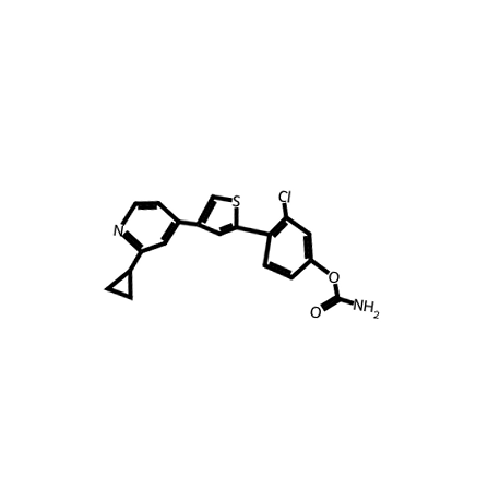 NC(=O)Oc1ccc(-c2cc(-c3ccnc(C4CC4)c3)cs2)c(Cl)c1